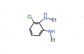 CCNc1cccc(Cl)c1NCC